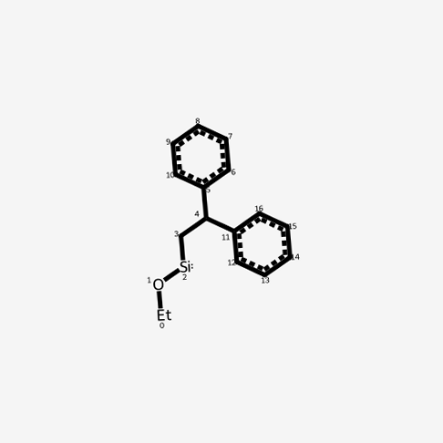 CCO[Si]CC(c1ccccc1)c1ccccc1